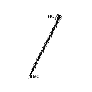 C=C(CC(=O)O)C(=O)OCCOCCOCCOCCOCCOCCOCCOCCOCCOCCOCCOCCOCCOCCOCCOCCOCCOCCOCCOCCOCCCCCCCCCCCCCCCC